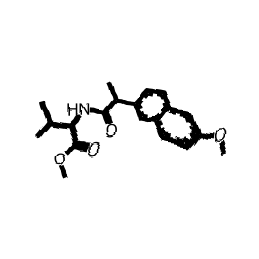 COC(=O)C(NC(=O)C(C)c1ccc2cc(OC)ccc2c1)C(C)C